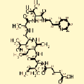 C=C(N[C@H](CN[C@@H](C)C(=O)NC(C(=O)NCCc1ccccn1)C(C)C)CC(C)C)[C@H](CCC)NC(=O)[C@@H](NC(=O)CCCC(=O)O)[C@@H](C)CC